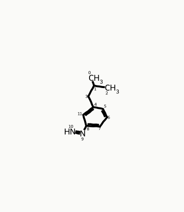 CC(C)Cc1cccc(N=N)c1